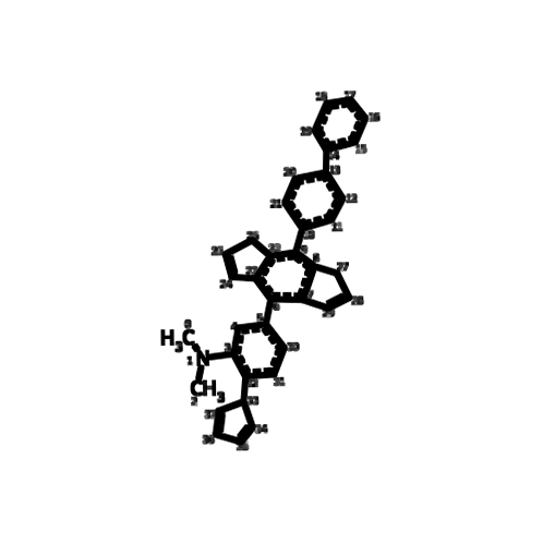 CN(C)c1cc(-c2c3c(c(-c4ccc(-c5ccccc5)cc4)c4c2C=CC4)CC=C3)ccc1C1C=CC=C1